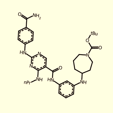 CCCNc1nc(Nc2ccc(C(N)=O)cc2)ncc1C(=O)Nc1cccc(NC2CCCN(C(=O)OC(C)(C)C)CC2)c1